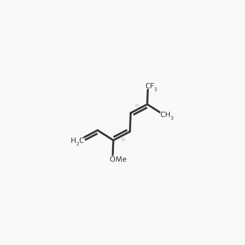 C=C/C(=C\C=C(/C)C(F)(F)F)OC